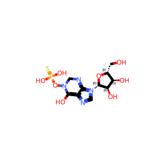 OC[C@H]1O[C@@H](n2cnc3c2=NCN(OP(O)(O)=S)C=3O)[C@H](O)[C@@H]1O